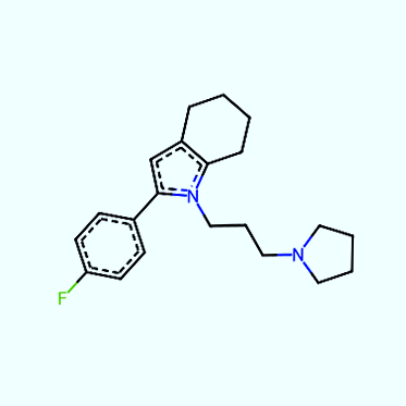 Fc1ccc(-c2cc3c(n2CCCN2CCCC2)CCCC3)cc1